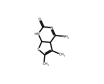 CC1=C(C)C2C(N)=NC(=O)NC2S1